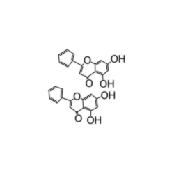 O=c1cc(-c2ccccc2)oc2cc(O)cc(O)c12.O=c1cc(-c2ccccc2)oc2cc(O)cc(O)c12